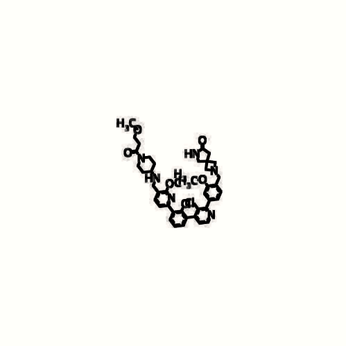 COCCC(=O)N1CCC(NCc2ccc(-c3cccc(-c4ccnc(-c5ccc(CN6CC7(CNC(=O)C7)C6)c(OC)c5)c4Cl)c3Cl)nc2OC)CC1